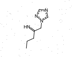 CCCC(=N)Cn1cncn1